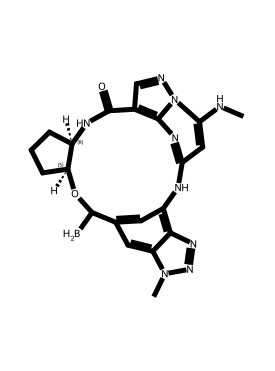 BC1O[C@H]2CCC[C@H]2NC(=O)c2cnn3c(NC)cc(nc23)Nc2cc1cc1c2nnn1C